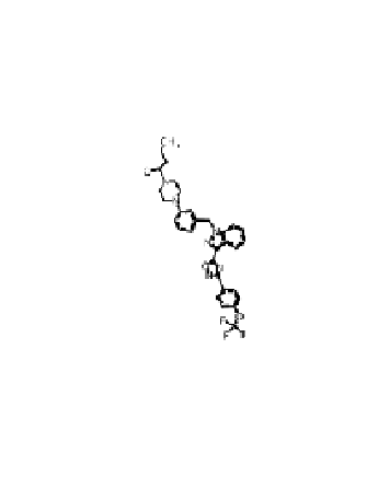 CCCC(=O)N1CCN(c2cccc(Cn3nc(-c4nc(-c5ccc(OC(F)(F)F)cc5)no4)c4ccccc43)c2)CC1